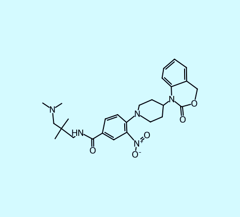 CN(C)CC(C)(C)CNC(=O)c1ccc(N2CCC(N3C(=O)OCc4ccccc43)CC2)c([N+](=O)[O-])c1